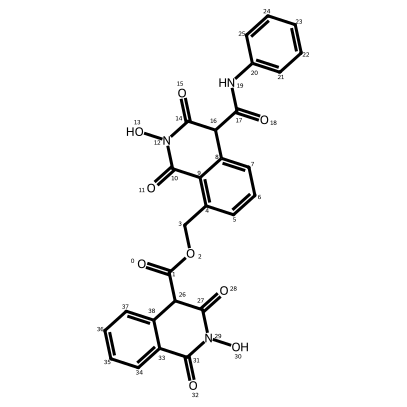 O=C(OCc1cccc2c1C(=O)N(O)C(=O)C2C(=O)Nc1ccccc1)C1C(=O)N(O)C(=O)c2ccccc21